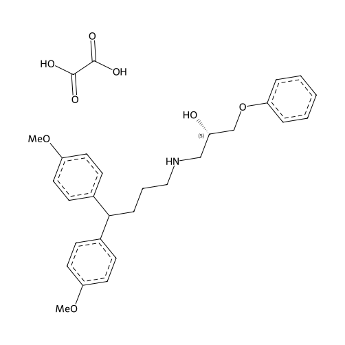 COc1ccc(C(CCCNC[C@H](O)COc2ccccc2)c2ccc(OC)cc2)cc1.O=C(O)C(=O)O